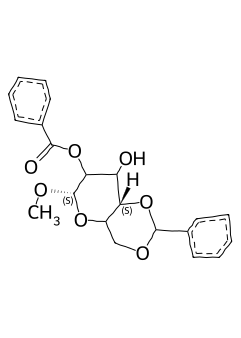 CO[C@H]1OC2COC(c3ccccc3)O[C@H]2C(O)C1OC(=O)c1ccccc1